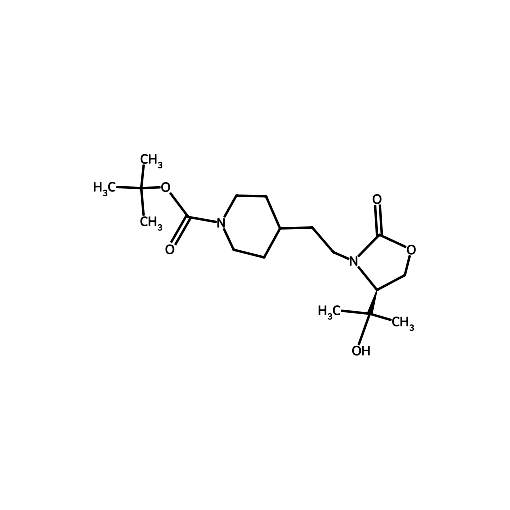 CC(C)(C)OC(=O)N1CCC(CCN2C(=O)OC[C@H]2C(C)(C)O)CC1